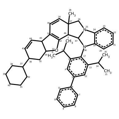 CC(C)c1cc(-c2ccccc2)cc(C(C)C)c1N1c2ccccc2N2CC3(C)C=CC4=C(OC5CC(C6CCCCC6)C=CC45)C3C21